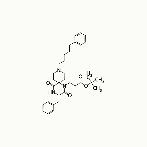 CC(C)(C)OC(=O)CCN1C(=O)C(Cc2ccccc2)NC(=O)C12CCN(CCCCCc1ccccc1)CC2